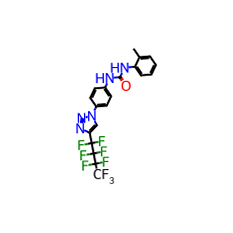 Cc1ccccc1NC(=O)Nc1ccc(-n2cc(C(F)(F)C(F)(F)C(F)(F)C(F)(F)F)nn2)cc1